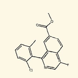 COC(=O)c1ccc2c(F)cnc(-c3c(C)cccc3Cl)c2c1